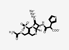 NC(=O)OCC1=C(P(=O)([O-])[O-])N2C(=O)[C@@H](NC(=O)C(C(=O)[O-])c3ccsc3)[C@@H]2SC1.[Na+].[Na+].[Na+]